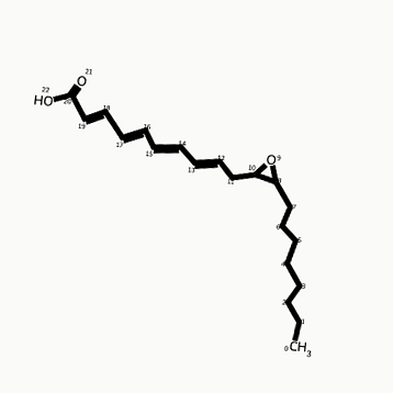 CCCCCCCCC1OC1CC=CC=CC=CC=CC(=O)O